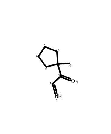 CC1(C(=O)C=N)CCCC1